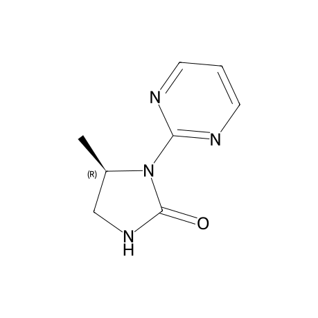 C[C@@H]1CNC(=O)N1c1ncccn1